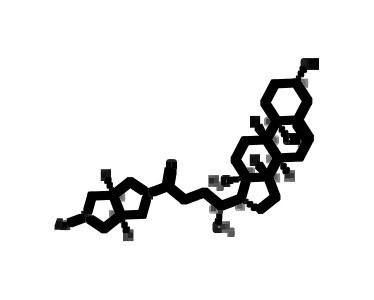 CC(=O)N1C[C@@H]2CN(C(=O)CC[C@@H](C)[C@H]3CC[C@H]4[C@@H]5CC=C6C[C@@H](O)CC[C@]6(C)[C@H]5CC[C@]34C)C[C@@H]2C1